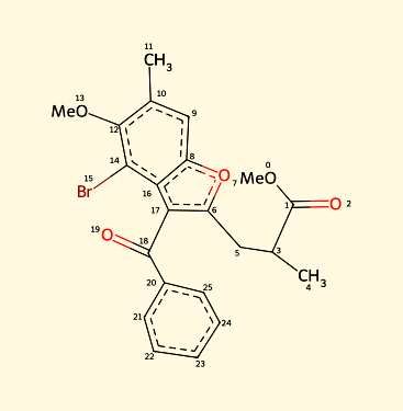 COC(=O)C(C)Cc1oc2cc(C)c(OC)c(Br)c2c1C(=O)c1ccccc1